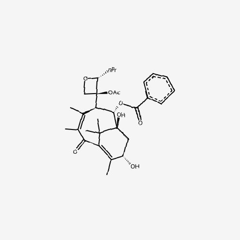 CCC[C@H]1OC[C@@]1(OC(C)=O)[C@@H]1/C(C)=C(/C)C(=O)C2=C(C)[C@@H](O)C[C@@](O)([C@H]1OC(=O)c1ccccc1)C2(C)C